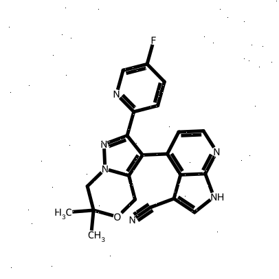 CC1(C)Cn2nc(-c3ccc(F)cn3)c(-c3ccnc4[nH]cc(C#N)c34)c2CO1